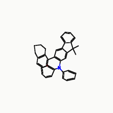 CC1(C)c2ccccc2-c2cc(-c3cccc4c3CCCC4)c(N(c3ccccc3)c3ccccc3)cc21